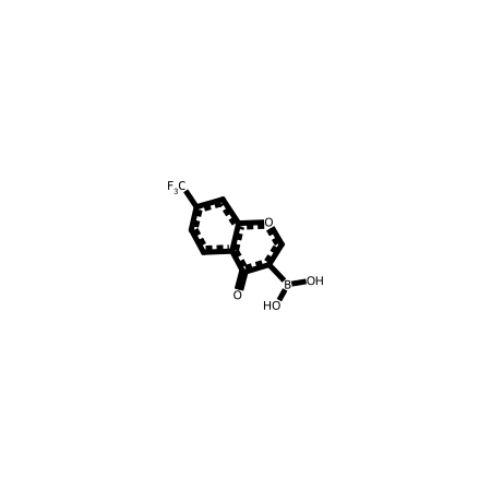 O=c1c(B(O)O)coc2cc(C(F)(F)F)ccc12